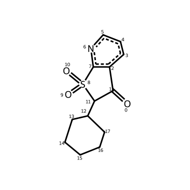 O=C1c2cccnc2S(=O)(=O)C1C1CCCCC1